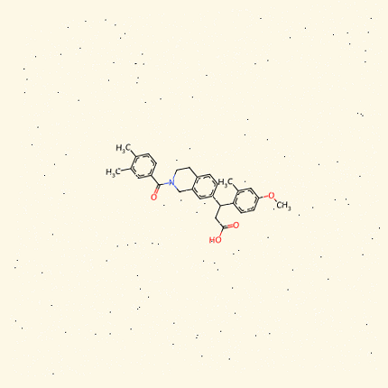 COc1ccc(C(CC(=O)O)c2ccc3c(c2)CN(C(=O)c2ccc(C)c(C)c2)CC3)c(C)c1